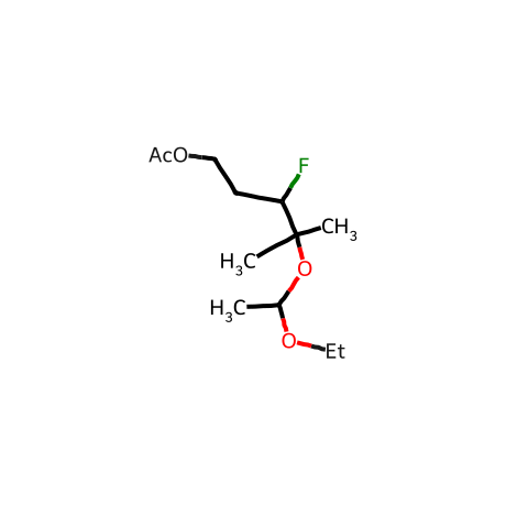 CCOC(C)OC(C)(C)C(F)CCOC(C)=O